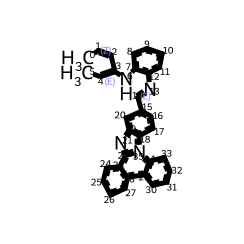 C/C=C\C(=C/C)Nc1ccccc1/N=C/c1ccc2c(c1)nc1c3ccccc3c3ccccc3n21